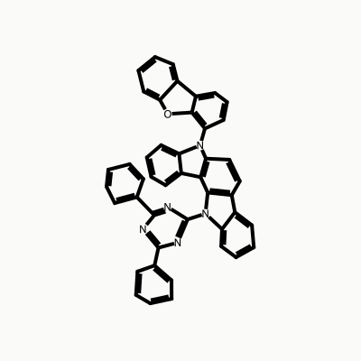 c1ccc(-c2nc(-c3ccccc3)nc(-n3c4ccccc4c4ccc5c(c6ccccc6n5-c5cccc6c5oc5ccccc56)c43)n2)cc1